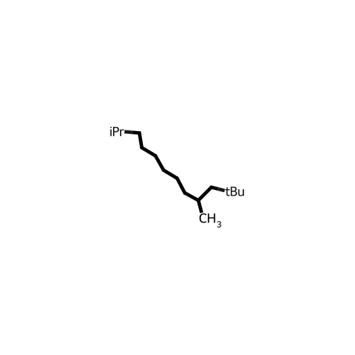 CC(C)CCCCCCC(C)CC(C)(C)C